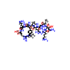 CC(NC(=O)[C@@H](NC(=O)[C@@H](N)CCCCN)[C@@H](O)CN)C(=O)NCC(=O)N[C@H](CCCN)C(=O)N1CCC[C@H]1C(=O)N[C@H]1Cc2ccc(cc2)C(C)(C)NC(=N)NCC/C=C(/C(=O)O)NC(=O)[C@H](CCCCN)NC1=O